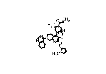 C=CC(=O)N1C[C@@H]2COc3c(OC[C@@H]4CCCN4C)nc4c(c3N2C[C@H]1C)CCN(c1ncnc2c1CCCC2)C4